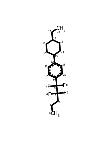 CCCC(F)(F)C(F)(F)c1ccc(C2CCC(CC)CC2)cc1